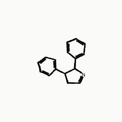 C1=NC(c2ccccc2)C(c2ccccc2)C1